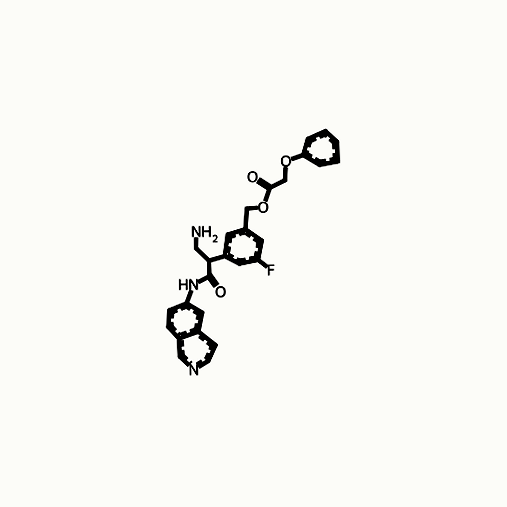 NCC(C(=O)Nc1ccc2cnccc2c1)c1cc(F)cc(COC(=O)COc2ccccc2)c1